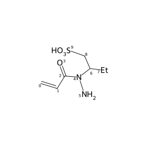 C=CC(=O)N(N)C(CC)CS(=O)(=O)O